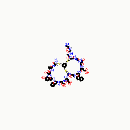 CC(NC(=O)CN(C)C(=O)CCN)C(=O)NC1CSCc2cc3cc(c2)CSCC(NC(=O)C(C)NC(=O)C(Cc2cccc4ccccc24)NC(=O)C(CCC(=O)O)NC(=O)C(CC(N)=O)NC(=O)C(C)NC1=O)C(=O)NC(CCC(=O)O)C(=O)NC(CC(=O)O)C(=O)NC(Cc1ccccc1)C(=O)NC(Cc1ccc(O)cc1)C(=O)NC(CC(=O)O)C(=O)NC(C(C)(C)C)C(=O)NC(C(N)=O)CSC3